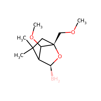 B[C@@H]1O[C@@]2(COC)CC(C)(C)C1C2OC